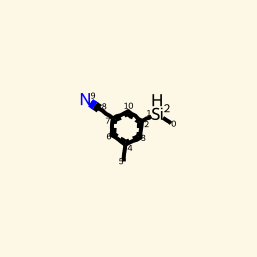 C[SiH2]c1cc(C)cc(C#N)c1